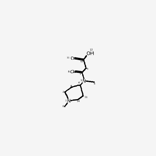 CN1CCC(N(C)C(=O)CC(=O)O)CC1